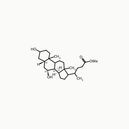 COC(=O)CCC(C)C1CC[C@H]2[C@@H]3C(CCC12C)C1(C)CCC(O)C[C@H]1C[C@@H]3O